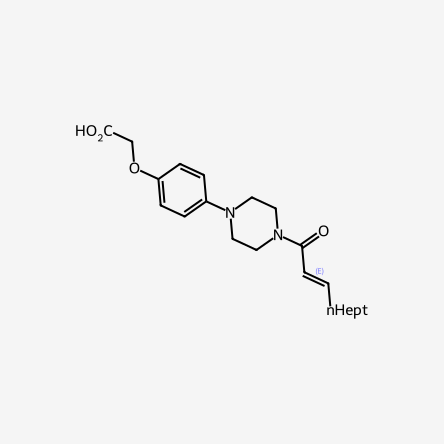 CCCCCCC/C=C/C(=O)N1CCN(c2ccc(OCC(=O)O)cc2)CC1